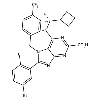 CCc1ccc(Cl)c(-c2nc3nc(C(=O)O)nc(N[C@H](C)C4CCC4)c3n2Cc2ccc(C(F)(F)F)cc2)c1